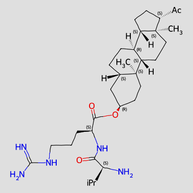 CC(=O)[C@H]1CC[C@H]2[C@@H]3CC[C@H]4C[C@H](OC(=O)[C@H](CCCNC(=N)N)NC(=O)[C@@H](N)C(C)C)CC[C@]4(C)[C@H]3CC[C@]12C